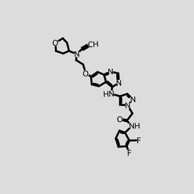 C#CN(CCOc1ccc2c(Nc3cnn(CC(=O)Nc4cccc(F)c4F)c3)ncnc2c1)C1CCOCC1